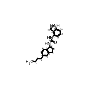 CCCCc1ccc2c(c1)CC[C@H]2NC(=O)Nc1cccc2[nH]ncc12